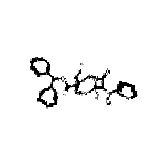 CC(=O)N(c1cccs1)C1C(=O)N2CC(CF)(C(=O)OC(c3ccccc3)c3ccccc3)CS[C@H]12